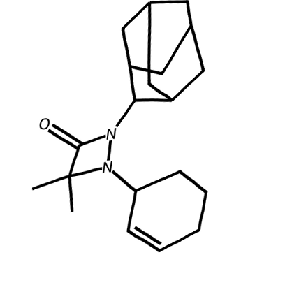 CC1(C)C(=O)N(C2C3CC4CC(C3)CC2C4)N1C1C=CCCC1